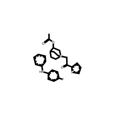 CC(=O)OC1C[N+]2(CC(=O)c3cccs3)CCC1CC2.Fc1ccc(Nc2ccccc2)cc1